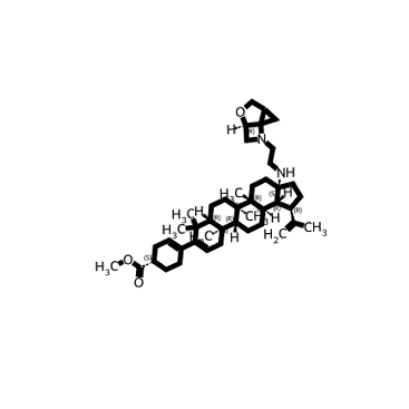 C=C(C)[C@@H]1CC[C@]2(NCCN3C[C@H]4OCC5CC543)CC[C@]3(C)[C@H](CC[C@@H]4[C@@]5(C)CC=C(C6=CC[C@@H](C(=O)OC)CC6)C(C)(C)[C@@H]5CC[C@]43C)[C@@H]12